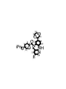 CC(C)O[C@H]1CC[C@H](C(=O)N2Cc3cc(F)cnc3Nc3ccc([C@@H]4COCCO4)cc32)OC1